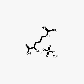 N=C(N)NCCCC(N)C(=O)O.O=S(=O)([O-])[O-].[Cu+2]